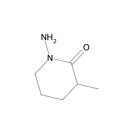 CC1CCCN(N)C1=O